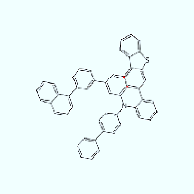 c1ccc(-c2ccc(N(c3cccc(-c4cccc(-c5cccc6ccccc56)c4)c3)c3ccccc3-c3ccc4c(c3)sc3ccccc34)cc2)cc1